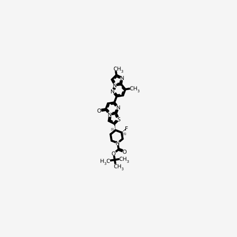 Cc1cn2nc(-c3cc(=O)n4cc([C@H]5CCN(C(=O)OC(C)(C)C)C[C@H]5F)sc4n3)cc(C)c2n1